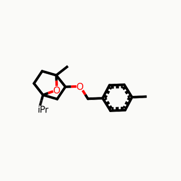 Cc1ccc(COC2CC3(C(C)C)CCC2(C)O3)cc1